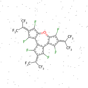 Fc1c(=C(C(F)(F)F)C(F)(F)F)c(F)c2c1oc1c(F)c(=C(C(F)(F)F)C(F)(F)F)c(F)c1c1c(F)c(=C(C(F)(F)F)C(F)(F)F)c(F)c21